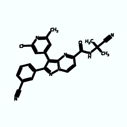 Cc1cc(-c2c(-c3cccc(C#N)c3)nn3ccc(C(=O)NC(C)(C)C#N)nc23)cc(Cl)n1